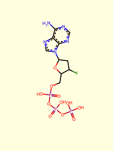 Nc1ncnc2c1ncn2C1CC(F)C(COP(=O)(O)OP(=O)(O)OP(=O)(O)O)O1